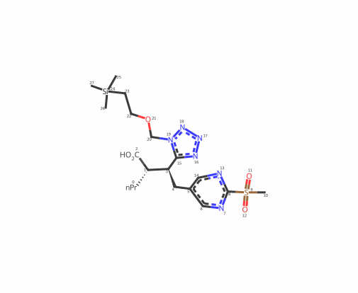 CCC[C@H](C(=O)O)[C@H](Cc1cnc(S(C)(=O)=O)nc1)c1nnnn1COCC[Si](C)(C)C